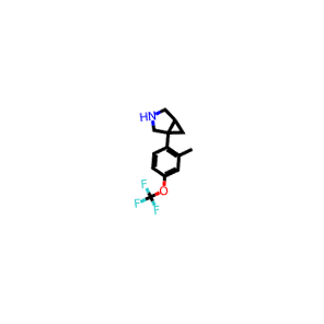 Cc1cc(OC(F)(F)F)ccc1C12CNCC1C2